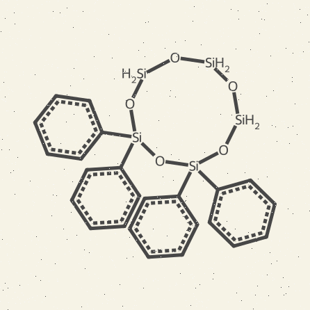 c1ccc([Si]2(c3ccccc3)O[SiH2]O[SiH2]O[SiH2]O[Si](c3ccccc3)(c3ccccc3)O2)cc1